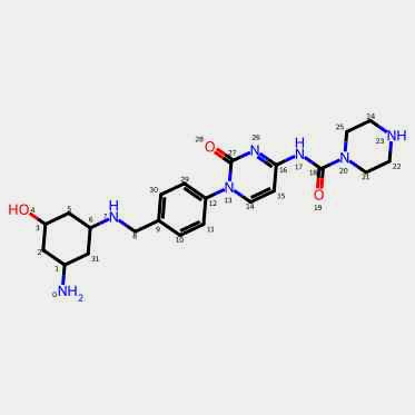 NC1CC(O)CC(NCc2ccc(-n3ccc(NC(=O)N4CCNCC4)nc3=O)cc2)C1